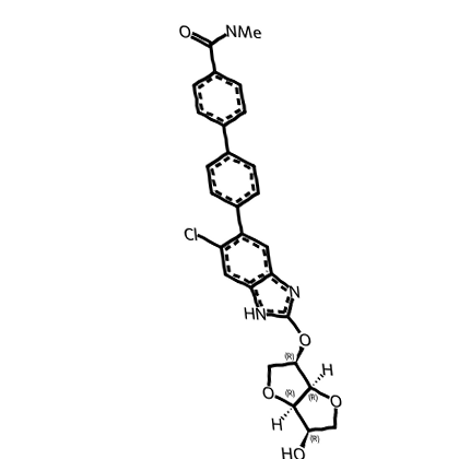 CNC(=O)c1ccc(-c2ccc(-c3cc4nc(O[C@@H]5CO[C@H]6[C@@H]5OC[C@H]6O)[nH]c4cc3Cl)cc2)cc1